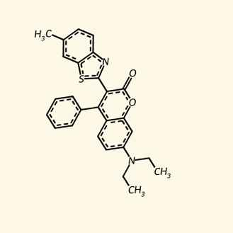 CCN(CC)c1ccc2c(-c3ccccc3)c(-c3nc4ccc(C)cc4s3)c(=O)oc2c1